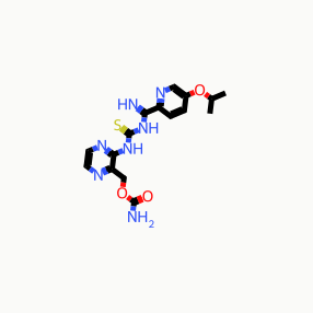 CC(C)Oc1ccc(C(=N)NC(=S)Nc2nccnc2COC(N)=O)nc1